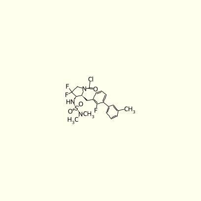 Cc1cccc(-c2cccc(C[C@H]3[C@@H](NS(=O)(=O)N(C)C)C(F)(F)CN3C(=O)Cl)c2F)c1